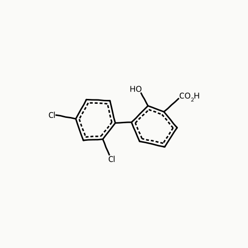 O=C(O)c1cccc(-c2ccc(Cl)cc2Cl)c1O